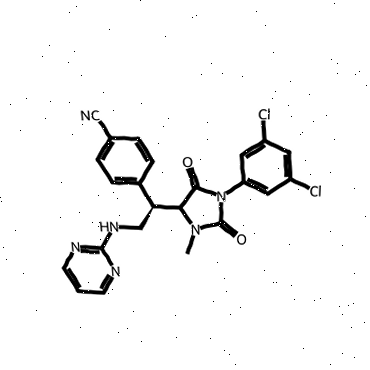 CN1C(=O)N(c2cc(Cl)cc(Cl)c2)C(=O)C1[C@@H](CNc1ncccn1)c1ccc(C#N)cc1